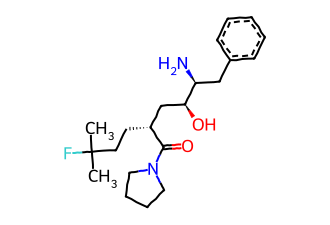 CC(C)(F)CC[C@H](C[C@H](O)[C@@H](N)Cc1ccccc1)C(=O)N1CCCC1